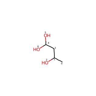 CC(O)CC(O)O